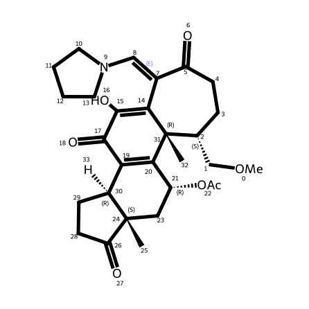 COC[C@H]1CCC(=O)/C(=C/N2CCCC2)C2=C(O)C(=O)C3=C([C@H](OC(C)=O)C[C@]4(C)C(=O)CC[C@@H]34)[C@]21C